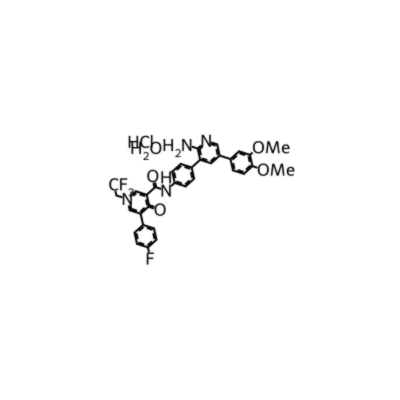 COc1ccc(-c2cnc(N)c(-c3ccc(NC(=O)c4cn(CC(F)(F)F)cc(-c5ccc(F)cc5)c4=O)cc3)c2)cc1OC.Cl.O